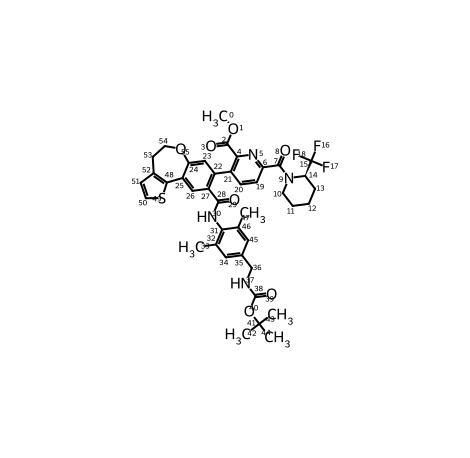 COC(=O)c1nc(C(=O)N2CCCC[C@@H]2C(F)(F)F)ccc1-c1cc2c(cc1C(=O)Nc1c(C)cc(CNC(=O)OC(C)(C)C)cc1C)-c1sccc1CCO2